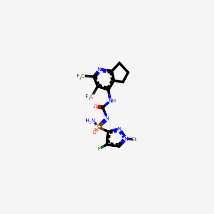 CCn1cc(F)c(S(N)(=O)=NC(=O)Nc2c3c(nc(C(F)(F)F)c2C(F)(F)F)CCC3)n1